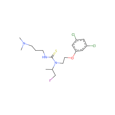 CC(CI)N(CCOc1cc(Cl)cc(Cl)c1)C(=S)NCCCN(C)C